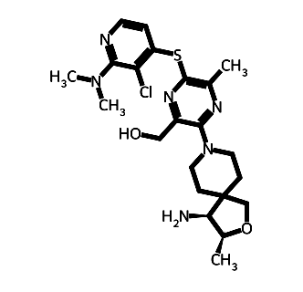 Cc1nc(N2CCC3(CC2)CO[C@@H](C)[C@H]3N)c(CO)nc1Sc1ccnc(N(C)C)c1Cl